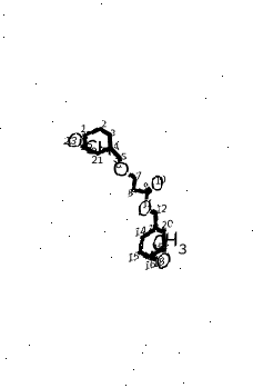 CC12CCC(COCCC(=O)OCC3CCC4(C)OC4C3)CC1O2